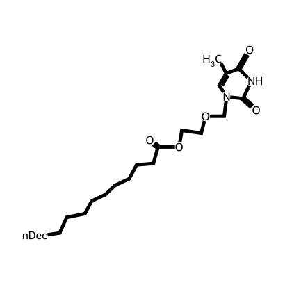 CCCCCCCCCCCCCCCCCCCC(=O)OCCOCn1cc(C)c(=O)[nH]c1=O